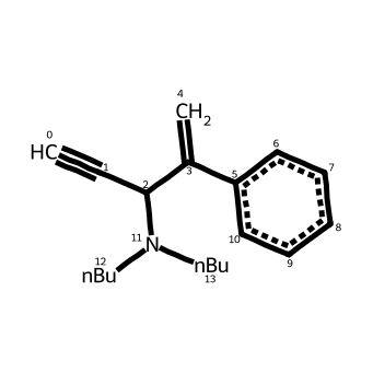 C#CC(C(=C)c1ccccc1)N(CCCC)CCCC